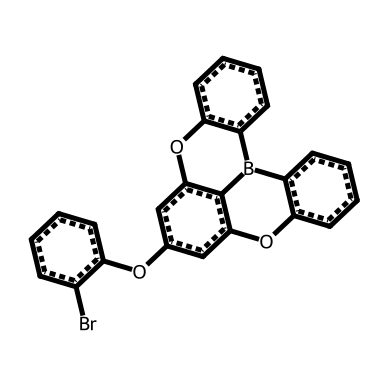 Brc1ccccc1Oc1cc2c3c(c1)Oc1ccccc1B3c1ccccc1O2